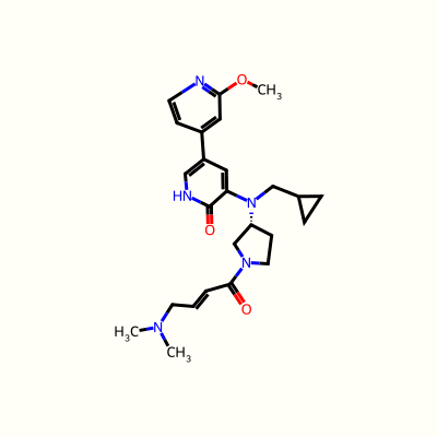 COc1cc(-c2c[nH]c(=O)c(N(CC3CC3)[C@@H]3CCN(C(=O)/C=C/CN(C)C)C3)c2)ccn1